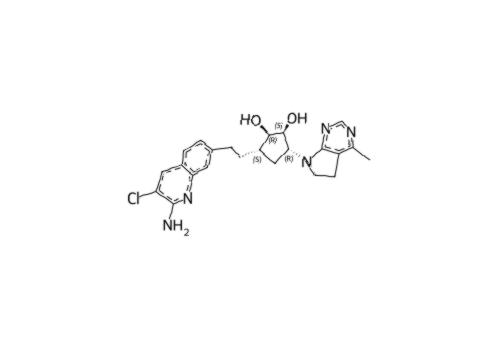 Cc1ncnc2c1CCN2[C@@H]1C[C@H](CCc2ccc3cc(Cl)c(N)nc3c2)[C@@H](O)[C@H]1O